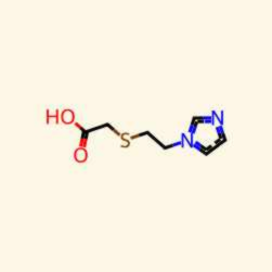 O=C(O)CSCCn1ccnc1